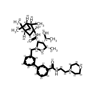 C[C@@H]1[C@@H](NC(=O)[C@@H]2[C@H]([C@H](C)O)[C@H](C)ON2Cc2cccc(-c3cccc(C(=O)NCCN4CCOCC4)c3)c2)C[C@H]2C[C@@H]1C2(C)C